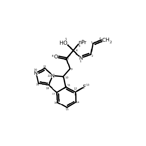 C=C/C=N\C(O)(CCC)C(=O)CC1c2c(F)cccc2-c2cncn21